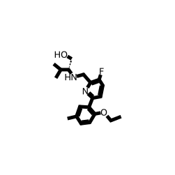 CCOc1ccc(C)cc1-c1ccc(F)c(CN[C@@H](CO)C(C)C)n1